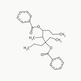 CCCC(OC(=O)c1ccccc1)C(C)C(CC)(CCC)OC(=O)c1ccccc1